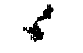 COc1cc(N2CCC(CCCN3CCN(c4ccc5c(c4)C(=O)N(C4CCC(=O)NC4=O)C5=O)CC3)CC2)c(F)cc1Nc1ncc2c(n1)N(C1CCCC1)CC(F)(F)C(=O)N2C